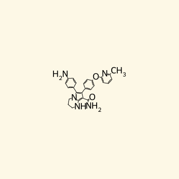 Cc1cccc(Oc2ccc(-c3c(C(N)=O)c4n(c3-c3ccc(N)cc3)CCCN4)cc2)n1